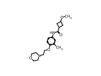 COC1CC(C(=O)Nc2ccc(OCCN3CCOCC3)c(C)c2)C1